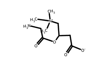 C[N+](C)(C)CC(CC(=O)[O-])OC(=O)CN